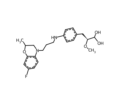 CO[C@@H](Cc1ccc(NCCCN2CC(C)Oc3cc(F)ccc32)cc1)C(O)O